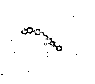 CC1NC(c2ccccc2)=CC1C(=O)NCCCN1CCN(c2ccc3ncccc3c2)CC1